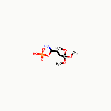 CO[Si](CCC(N)OP(=O)(O)O)(OC)OC